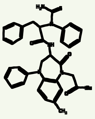 Cc1ccc2c(c1)N(CC(=O)C(C)(C)C)C(=O)C(NC(=O)C(Cc1ccccc1)N(C(N)=S)c1ccccc1)CN2c1ccccc1